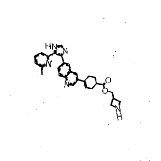 Cc1cccc(-c2[nH]cnc2-c2ccc3ncc(C4=CCC(C(=O)OCC5CNC5)CC4)cc3c2)n1